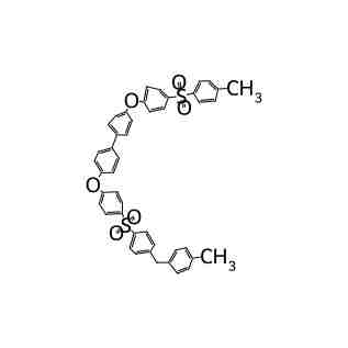 Cc1ccc(Cc2ccc(S(=O)(=O)c3ccc(Oc4ccc(-c5ccc(Oc6ccc(S(=O)(=O)c7ccc(C)cc7)cc6)cc5)cc4)cc3)cc2)cc1